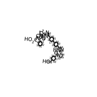 CN(C(=O)O)[C@@H](C(=O)N1CCC[C@H]1c1ncc(-c2ccc(-c3ccc(-c4cnc([C@@H]5CCCN5C(=O)c5ccc(CO)cc5)[nH]4)cc3)cc2)[nH]1)c1ccccc1